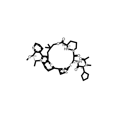 CCn1c(-c2cccnc2[C@H](C)OC)c2c3cc(ccc31)-c1csc(n1)C[C@H](NC(=O)[C@H](C1CCCC1)N(C)C(C)=O)C(=O)N1CCC[C@H](N1)C(=O)OCC(C)(C)C2